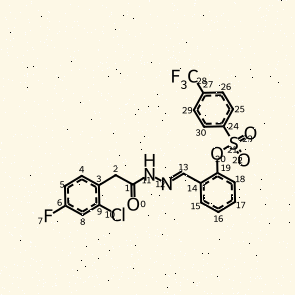 O=C(Cc1ccc(F)cc1Cl)NN=Cc1ccccc1OS(=O)(=O)c1ccc(C(F)(F)F)cc1